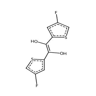 O/C(=C(/O)c1cc(F)cs1)c1cc(F)cs1